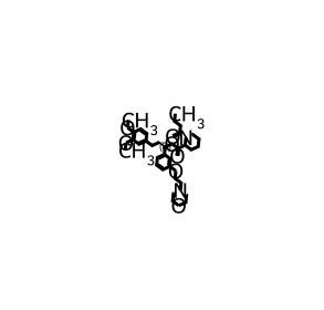 CCCC(=O)N1CCCCC1C(=O)O[C@H](CCc1ccc(OC)c(OC)c1)c1cccc(OCCN2CCOCC2)c1